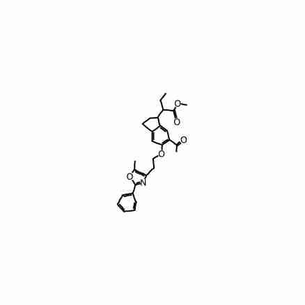 CCC(C(=O)OC)C1CCc2cc(OCCc3nc(-c4ccccc4)oc3C)c(C(C)=O)cc21